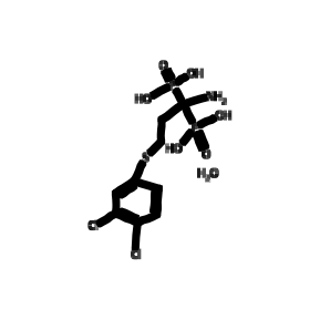 NC(CCSc1ccc(Cl)c(Cl)c1)(P(=O)(O)O)P(=O)(O)O.O